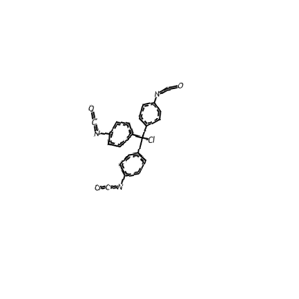 O=C=Nc1ccc(C(Cl)(c2ccc(N=C=O)cc2)c2ccc(N=C=O)cc2)cc1